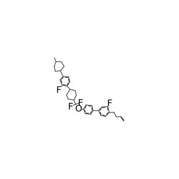 C=CCCc1ccc(-c2ccc(OC(F)(F)C3CCC(c4ccc(C5CCC(C)CC5)cc4F)CC3)cc2)cc1F